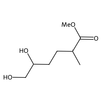 COC(=O)[C](C)CCC(O)CO